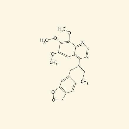 CCN(Cc1ccc2c(c1)OOC2)c1ncnc2c(OC)c(OC)c(OC)cc12